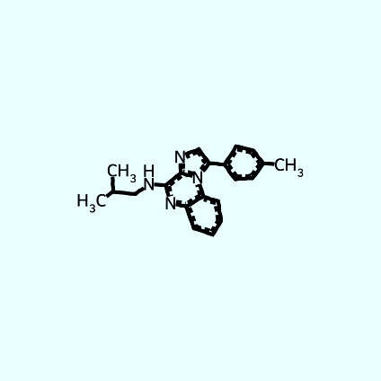 Cc1ccc(-c2cnc3c(NCC(C)C)nc4ccccc4n23)cc1